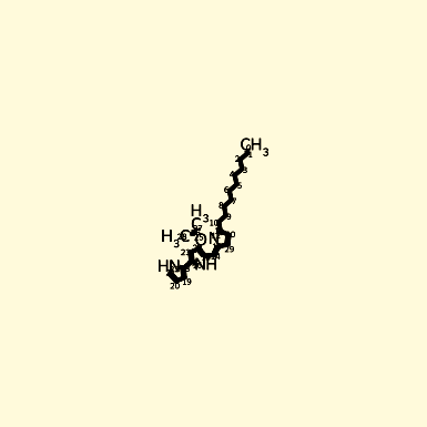 CCCCCCCCCCCC1=NC(=Cc2[nH]c(-c3ccc[nH]3)cc2OC(C)C)C=C1